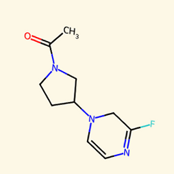 CC(=O)N1CCC(N2C=CN=C(F)C2)C1